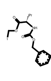 CC(C)[C@H](NC(=O)OCc1ccccc1)C(=O)OCI